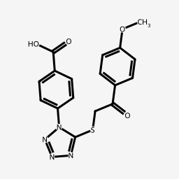 COc1ccc(C(=O)CSc2nnnn2-c2ccc(C(=O)O)cc2)cc1